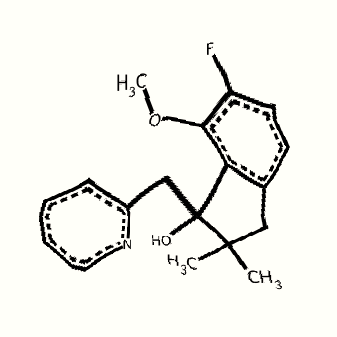 COc1c(F)ccc2c1C(O)(Cc1ccccn1)C(C)(C)C2